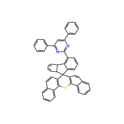 C1=CC2c3c(-c4nc(-c5ccccc5)cc(-c5ccccc5)n4)cccc3C3(c4ccc5ccccc5c4Sc4c3ccc3ccccc43)C2C=C1